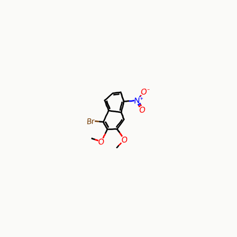 COc1cc2c([N+](=O)[O-])cccc2c(Br)c1OC